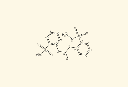 CSS(=O)(=O)c1ccccc1CC(C)Cc1ccccc1S(=O)(=O)SN